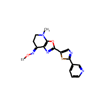 CCO/N=C1\CCN(C)c2oc(-c3cnc(-c4cccnc4)s3)nc21